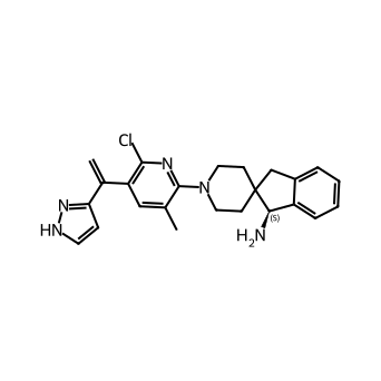 C=C(c1cc[nH]n1)c1cc(C)c(N2CCC3(CC2)Cc2ccccc2[C@H]3N)nc1Cl